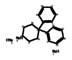 [NaH].[NaH].[NaH].c1ccc(C2(c3ccccc3)CCCCC2)cc1